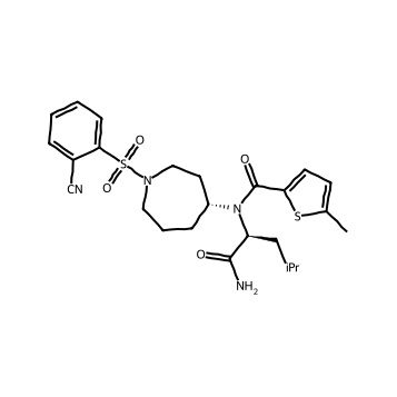 Cc1ccc(C(=O)N([C@@H]2CCCN(S(=O)(=O)c3ccccc3C#N)CC2)[C@@H](CC(C)C)C(N)=O)s1